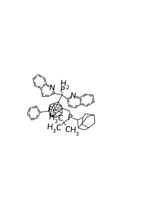 CC(C)(C)P(C[C]12[CH]3[C]4(c5ccccc5)[CH]5[C]1(C(P)(c1ccc6ccccc6n1)c1ccc6ccccc6n1)[Fe]35421678[CH]2[CH]1[CH]6[CH]7[CH]28)C1C2CC3CC(C2)CC1C3